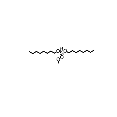 CCCCCCCCO[SiH](OCCCCCCCC)OOC